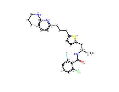 O=C(N[C@@H](Cc1ccc(CCCc2ccc3c(n2)NCCC3)s1)C(=O)O)c1c(F)cccc1Cl